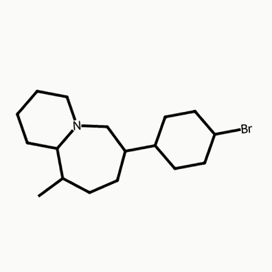 CC1CCC(C2CCC(Br)CC2)CN2CCCCC12